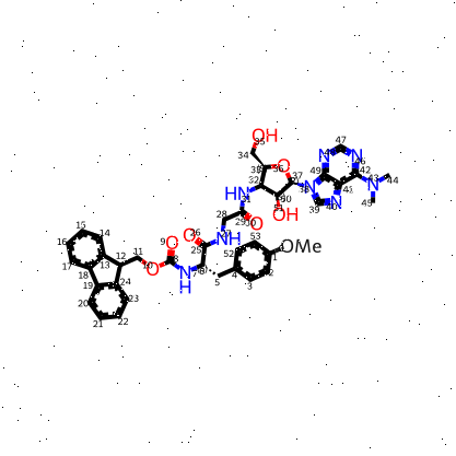 COc1ccc(C[C@H](NC(=O)OCC2c3ccccc3-c3ccccc32)C(=O)NCC(=O)NC2[C@@H](CO)O[C@@H](n3cnc4c(N(C)C)ncnc43)[C@H]2O)cc1